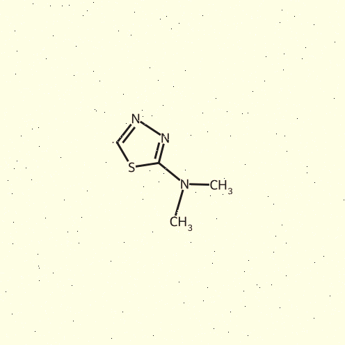 CN(C)c1nn[c]s1